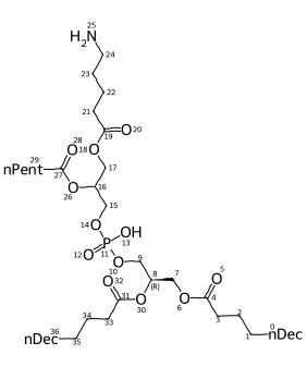 CCCCCCCCCCCCCC(=O)OC[C@H](COP(=O)(O)OCC(COC(=O)CCCCN)OC(=O)CCCCC)OC(=O)CCCCCCCCCCCCC